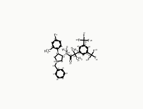 Cc1cc(F)ccc1[C@@H]1CN(Cc2ccccc2)C[C@H]1N(C)C(=O)C(C)(C)c1cc(C(F)(F)F)cc(C(F)(F)F)c1